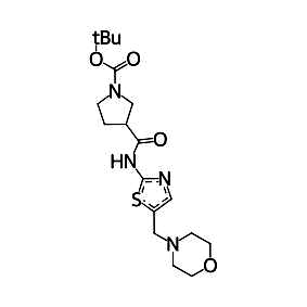 CC(C)(C)OC(=O)N1CCC(C(=O)Nc2ncc(CN3CCOCC3)s2)C1